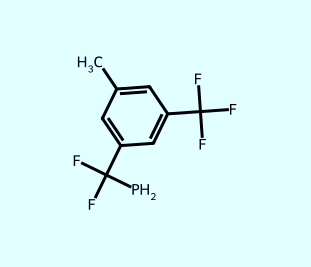 Cc1cc(C(F)(F)F)cc(C(F)(F)P)c1